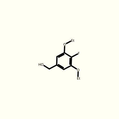 CCOc1cc(CO)cc(OCC)c1F